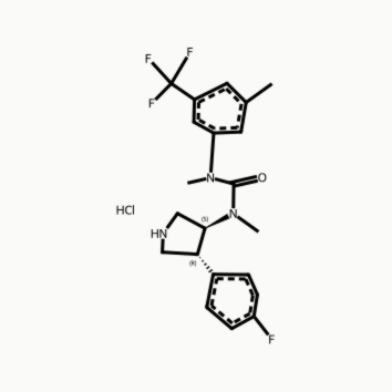 Cc1cc(N(C)C(=O)N(C)[C@@H]2CNC[C@H]2c2ccc(F)cc2)cc(C(F)(F)F)c1.Cl